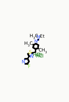 CCN(C)/C=N/c1cc(C)c(Cc2nc(-c3cncc(F)c3)cs2)cc1C.Cl.Cl.Cl